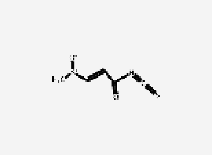 C[S+]([O-])C=CC(=O)N=C=S